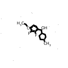 CCOc1ccc(C(O)C2CCC(C)CC2)c(F)c1F